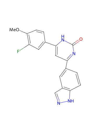 COc1ccc(-c2cc(-c3ccc4[nH]ncc4c3)nc(=O)[nH]2)cc1F